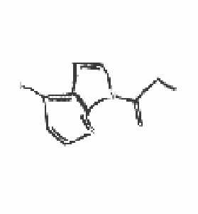 CCC(=O)n1ccc2c(I)ccnc21